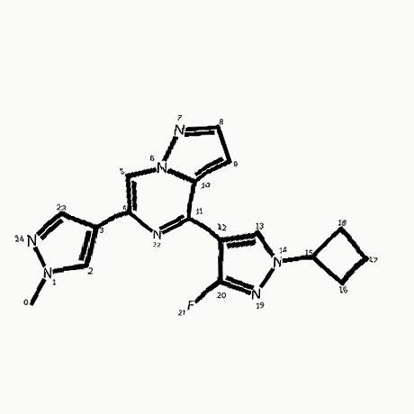 Cn1cc(-c2cn3nccc3c(-c3cn(C4CCC4)nc3F)n2)cn1